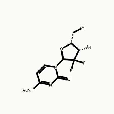 [3H]C[C@H]1OC(n2ccc(NC(C)=O)nc2=O)C(F)(F)[C@H]1[3H]